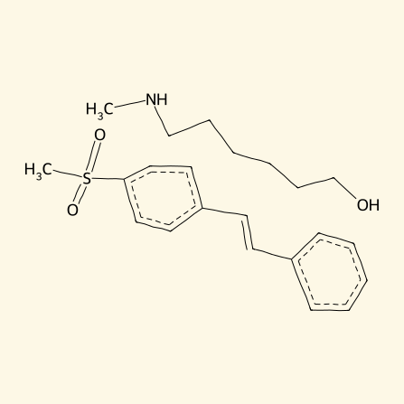 CNCCCCCCO.CS(=O)(=O)c1ccc(C=Cc2ccccc2)cc1